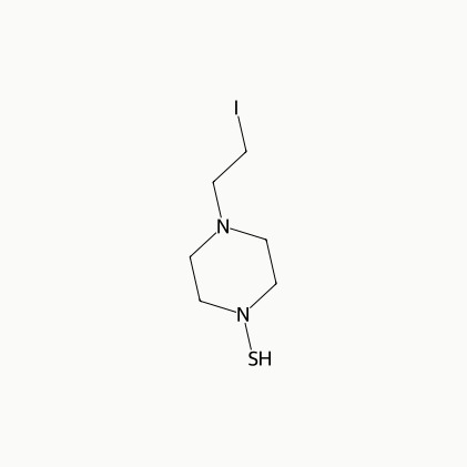 SN1CCN(CCI)CC1